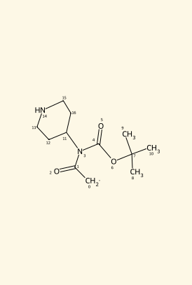 [CH2]C(=O)N(C(=O)OC(C)(C)C)C1CCNCC1